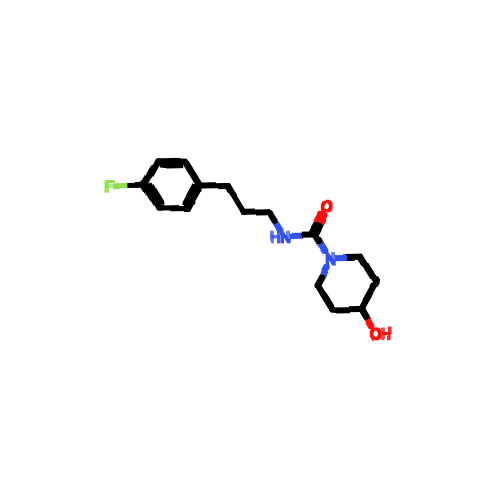 O=C(NCCCc1ccc(F)cc1)N1CCC(O)CC1